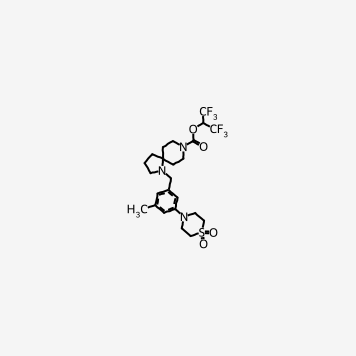 Cc1cc(CN2CCCC23CCN(C(=O)OC(C(F)(F)F)C(F)(F)F)CC3)cc(N2CCS(=O)(=O)CC2)c1